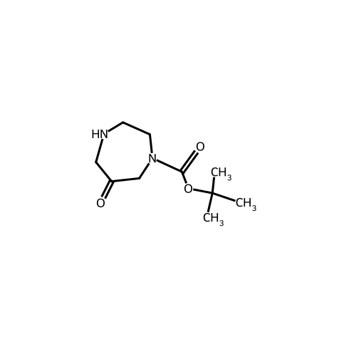 CC(C)(C)OC(=O)N1CCNCC(=O)C1